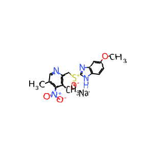 COc1ccc2[nH]c([S@@+]([O-])Cc3ncc(C)c([N+](=O)[O-])c3C)nc2c1.[Na]